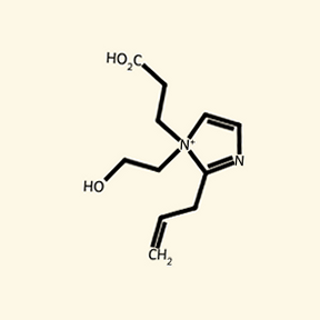 C=CCC1=NC=C[N+]1(CCO)CCC(=O)O